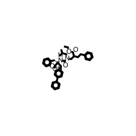 CCOC(=O)C(CCc1ccccc1)CN(CC(C)C)C(=O)N[C@@](Cc1ccccc1)(Cc1ccc(-c2ccccc2)cc1)C(=O)O